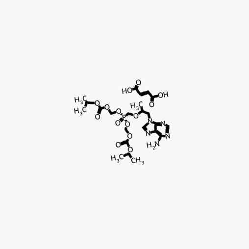 CC(C)OC(=O)OCOP(=O)(COC(C)Cn1cnc2c(N)ncnc21)OCOC(=O)OC(C)C.O=C(O)C=CC(=O)O